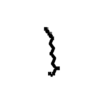 [N-]=[N+]=NCCOCCNN